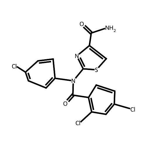 NC(=O)c1csc(N(C(=O)c2ccc(Cl)cc2Cl)c2ccc(Cl)cc2)n1